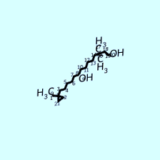 CCC1(CCCCCC(O)CCCCCC(C)(C)CCO)CC1